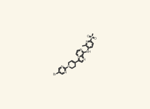 Cc1nc(S(C)(=O)=O)ccc1Nc1nccn2c(C3=CCN(c4ncc(Br)cn4)CC3)cnc12